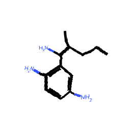 CCCC(C)C(N)c1cc(N)ccc1N